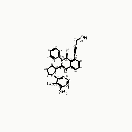 N#Cc1c(N)ncnc1N1CCCC1c1nc2cccc(C#CCO)c2c(=O)n1-c1ccccc1